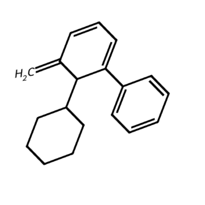 C=C1C=CC=C(c2ccccc2)C1C1CCCCC1